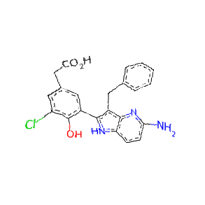 Nc1ccc2[nH]c(-c3cc(CC(=O)O)cc(Cl)c3O)c(Cc3ccccc3)c2n1